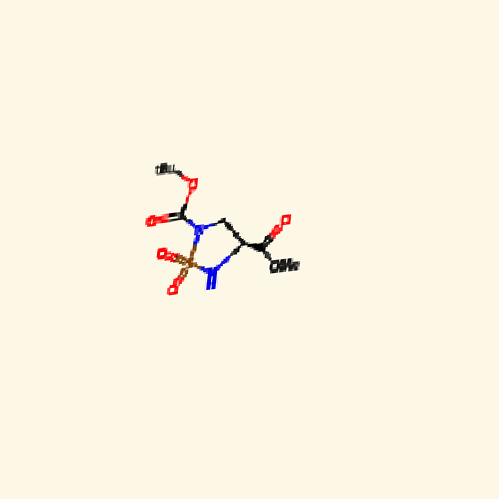 COC(=O)[C@@H]1CN(C(=O)OC(C)(C)C)S(=O)(=O)N1